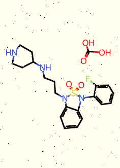 O=C(O)O.O=S1(=O)N(CCCNC2CCNCC2)c2ccccc2N1c1ccccc1F